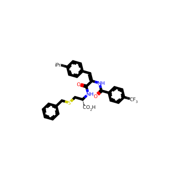 CC(C)c1ccc(/C=C(/NC(=O)c2ccc(C(F)(F)F)cc2)C(=O)N[C@@H](CSCc2ccccc2)C(=O)O)cc1